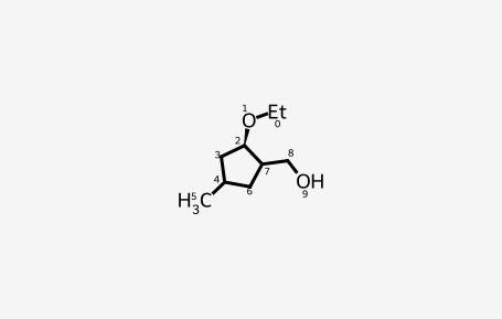 CCO[C@@H]1CC(C)CC1CO